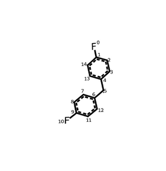 Fc1ccc([CH]c2ccc(F)cc2)cc1